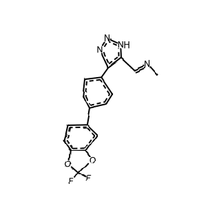 C/N=C/c1[nH]nnc1-c1ccc(-c2ccc3c(c2)OC(F)(F)O3)cc1